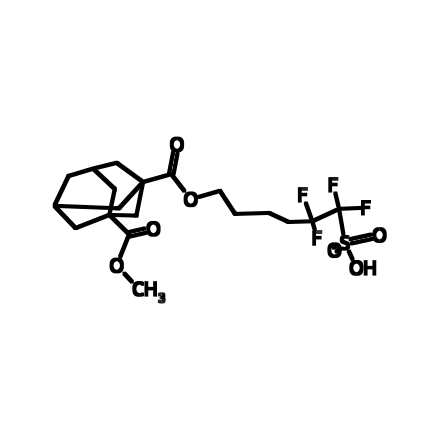 COC(=O)C12CC3CC(C1)CC(C(=O)OCCCCC(F)(F)C(F)(F)S(=O)(=O)O)(C3)C2